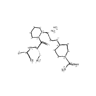 CCC(CC)N[C@@H](CC(=O)O)C(=O)N1CCCC[C@H]1CCOC1CCN(C(=N)N)CC1.Cl.Cl